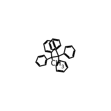 CC(c1ccccc1)(c1ccccc1)C(c1ccccc1)(c1ccccc1)c1ccccc1